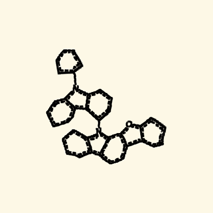 c1ccc(-n2c3ccccc3c3c(-n4c5ccccc5c5ccc6c7ccccc7oc6c54)cccc32)cc1